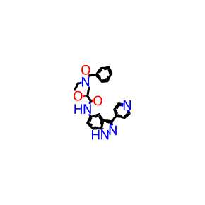 O=C(Nc1ccc2[nH]nc(-c3ccncc3)c2c1)C1CN(C(=O)c2ccccc2)CCO1